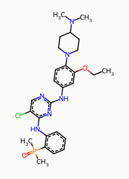 CCOc1cc(Nc2ncc(Cl)c(Nc3ccccc3P(C)(C)=O)n2)ccc1N1CCC(N(C)C)CC1